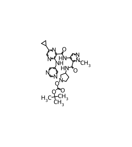 Cn1ncc(NC(=O)c2nc(C3CC3)cnc2Nc2cncnc2)c1C(=O)NC1CCN(OC(=O)OC(C)(C)C)C1